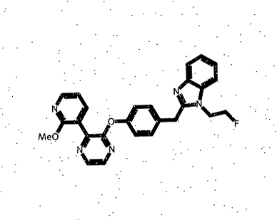 COc1ncccc1-c1nccnc1Oc1ccc([C]c2nc3ccccc3n2CCF)cc1